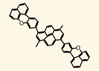 Cc1cc(-c2ccc3c(c2)Oc2cccc4cccc-3c24)c2ccc3c(C)cc(-c4ccc5c(c4)Oc4cccc6cccc-5c46)c4ccc1c2c34